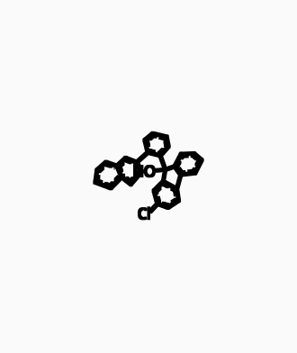 OC1(c2ccccc2-c2ccc3ccccc3c2)c2ccccc2-c2ccc(Cl)cc21